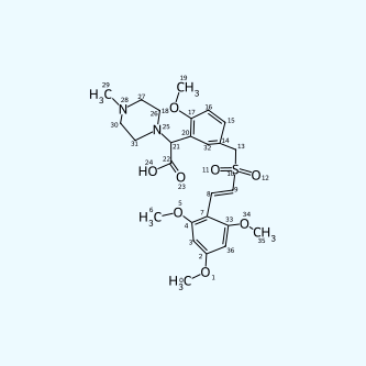 COc1cc(OC)c(C=CS(=O)(=O)Cc2ccc(OC)c(C(C(=O)O)N3CCN(C)CC3)c2)c(OC)c1